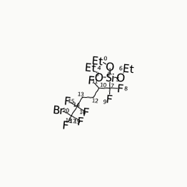 CCO[Si](OCC)(OCC)C(F)(F)C(F)CCC(F)(F)C(F)(F)Br